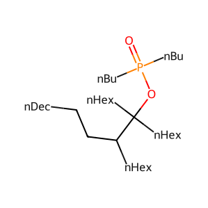 CCCCCCCCCCCCC(CCCCCC)C(CCCCCC)(CCCCCC)OP(=O)(CCCC)CCCC